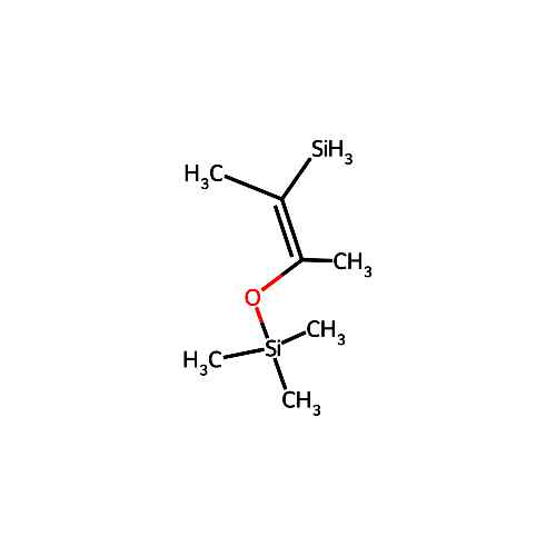 CC([SiH3])=C(C)O[Si](C)(C)C